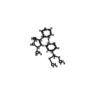 CCN(CC)c1ccc(-c2ccccc2C2=CC(C)ON2)cc1